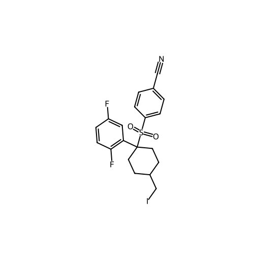 N#Cc1ccc(S(=O)(=O)C2(c3cc(F)ccc3F)CCC(CI)CC2)cc1